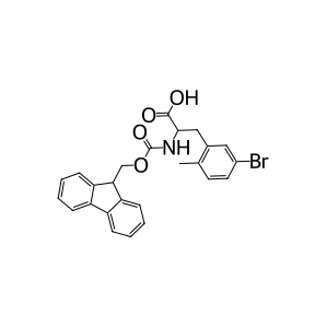 Cc1ccc(Br)cc1CC(NC(=O)OCC1c2ccccc2-c2ccccc21)C(=O)O